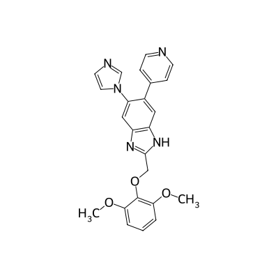 COc1cccc(OC)c1OCc1nc2cc(-n3ccnc3)c(-c3ccncc3)cc2[nH]1